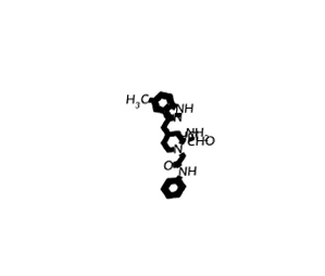 Cc1ccc2[nH]nc(CC3CCN(CC(=O)Nc4ccccc4)CC3)c2c1.Cl.NC=O